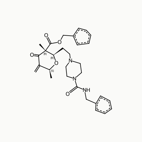 C=C1C(=O)[C@](C)(C(=O)OCc2ccccc2)[C@@H](CCN2CCN(C(=O)NCc3ccccc3)CC2)O[C@H]1C